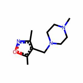 Cc1noc(C)c1CN1CCN(C)CC1